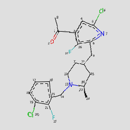 CC(=O)c1cc(Cl)nc(CC2CCN(Cc3cccc(Cl)c3F)[C@H](C)C2)c1F